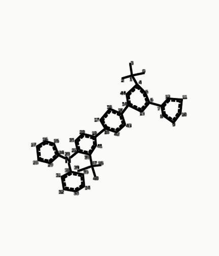 CC(C)(C)c1cc(-c2ccccc2)cc(-c2ccc(-c3ccc(N(c4ccccc4)c4ccccc4)c(C(C)(C)C)c3)cc2)c1